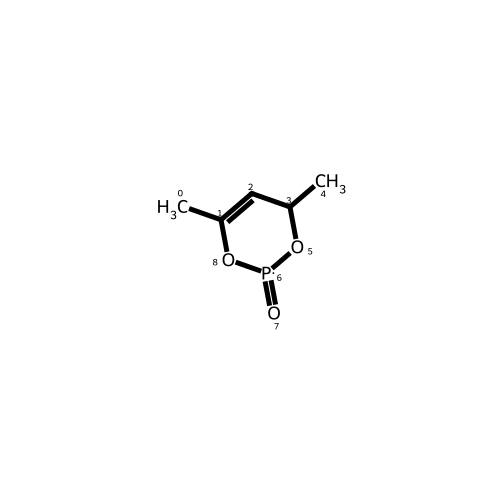 CC1=CC(C)O[P](=O)O1